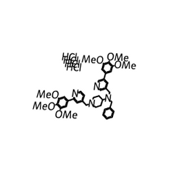 COc1cc(-c2cncc(CN(Cc3ccccc3)C3CCN(Cc4ccnc(-c5cc(OC)c(OC)c(OC)c5)c4)CC3)c2)cc(OC)c1OC.Cl.Cl.Cl.Cl